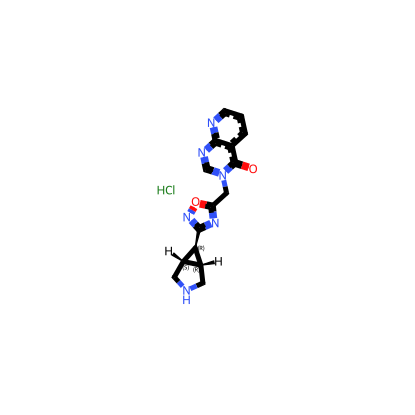 Cl.O=c1c2cccnc2ncn1Cc1nc([C@H]2[C@@H]3CNC[C@@H]32)no1